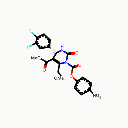 COCC1=C(C(=O)OC)[C@H](c2ccc(F)c(F)c2)NC(=O)N1C(=O)Oc1ccc([N+](=O)[O-])cc1